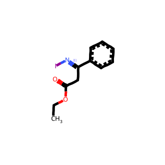 CCOC(=O)C/C(=N\I)c1ccccc1